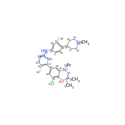 CC(C)N1CC(C)(C)Oc2c(Cl)cc(-c3nc(Nc4ccc(C5CCN(C)CC5)c(F)c4)ncc3F)cc21